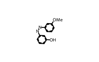 COc1cccc(/N=N\c2cccc(O)c2)c1